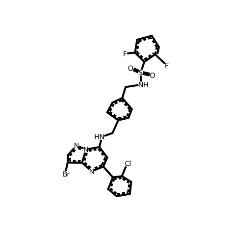 O=S(=O)(NCc1ccc(CNc2cc(-c3ccccc3Cl)nc3c(Br)cnn23)cc1)c1c(F)cccc1F